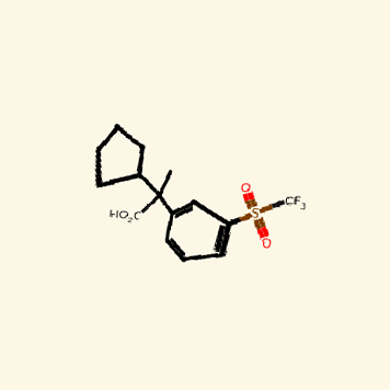 CC(C(=O)O)(c1cccc(S(=O)(=O)C(F)(F)F)c1)C1CCCC1